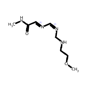 CNC(=O)/C=N/C=N\CNCCOC